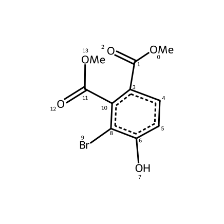 COC(=O)c1ccc(O)c(Br)c1C(=O)OC